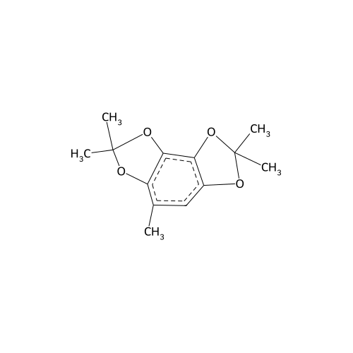 Cc1cc2c(c3c1OC(C)(C)O3)OC(C)(C)O2